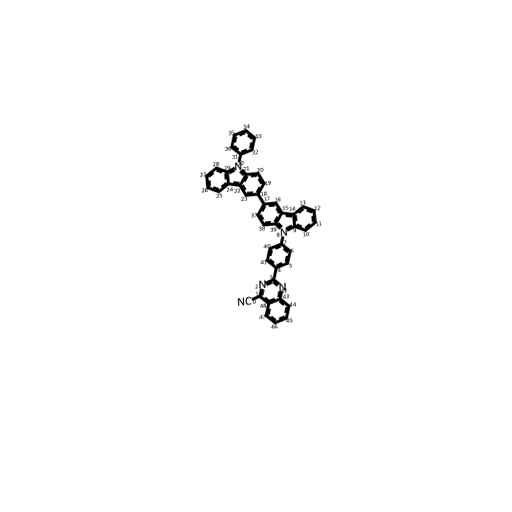 N#Cc1nc(-c2ccc(-n3c4ccccc4c4cc(-c5ccc6c(c5)c5ccccc5n6-c5ccccc5)ccc43)cc2)nc2ccccc12